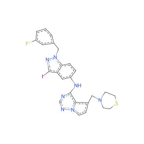 Fc1cccc(Cn2nc(I)c3cc(Nc4ncnn5ccc(CN6CCSCC6)c45)ccc32)c1